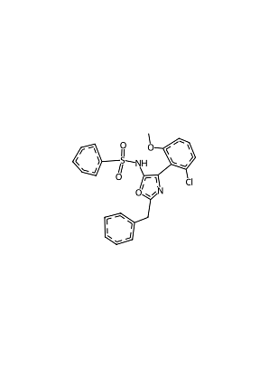 COc1cccc(Cl)c1-c1nc(Cc2ccccc2)oc1NS(=O)(=O)c1ccccc1